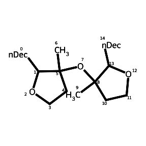 CCCCCCCCCCC1OCCC1(C)OC1(C)CCOC1CCCCCCCCCC